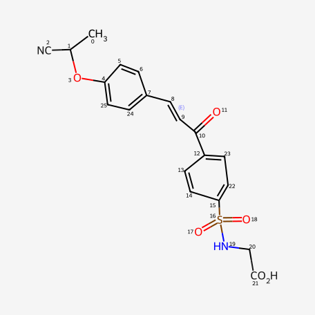 CC(C#N)Oc1ccc(/C=C/C(=O)c2ccc(S(=O)(=O)NCC(=O)O)cc2)cc1